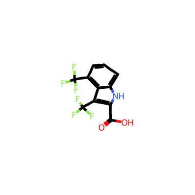 O=C(O)c1[nH]c2cccc(C(F)(F)F)c2c1C(F)(F)F